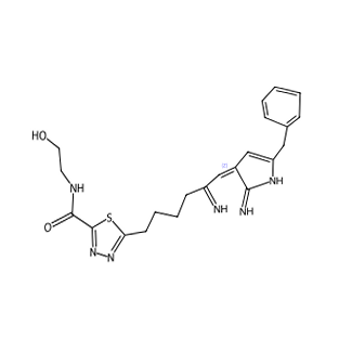 N=C(/C=C1/C=C(Cc2ccccc2)NC1=N)CCCCc1nnc(C(=O)NCCO)s1